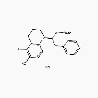 CNCC(Cc1ccccc1)C1CCCc2c1ccc(O)c2I.Cl